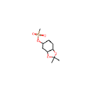 CC1(C)OC2CCC(OS(C)(=O)=O)CC2O1